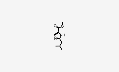 COC(=O)c1cnc(CC(C)C)[nH]1